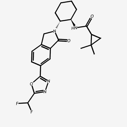 CC1(C)CC1C(=O)N[C@@H]1CCCC[C@H]1N1Cc2ccc(-c3nnc(C(F)F)o3)cc2C1=O